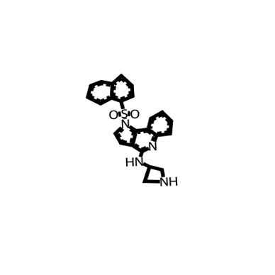 O=S(=O)(c1cccc2ccccc12)n1ccc2c(NC3CNC3)nc3ccccc3c21